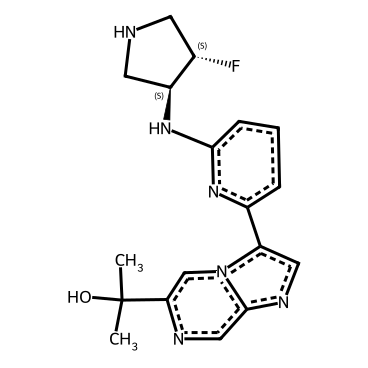 CC(C)(O)c1cn2c(-c3cccc(N[C@H]4CNC[C@@H]4F)n3)cnc2cn1